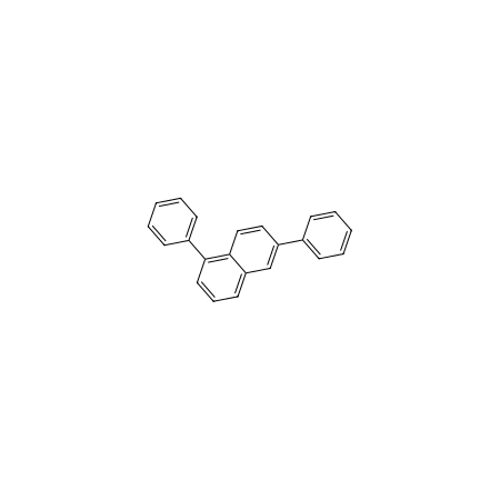 c1ccc(-c2ccc3c(-c4ccccc4)cccc3c2)cc1